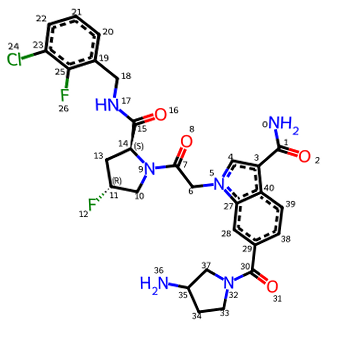 NC(=O)c1cn(CC(=O)N2C[C@H](F)C[C@H]2C(=O)NCc2cccc(Cl)c2F)c2cc(C(=O)N3CCC(N)C3)ccc12